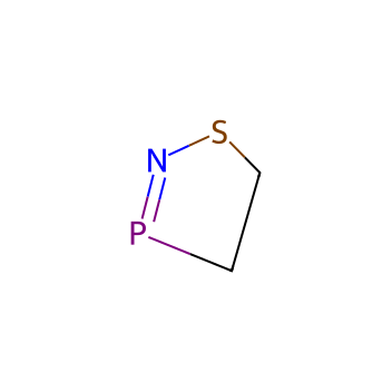 C1CSN=P1